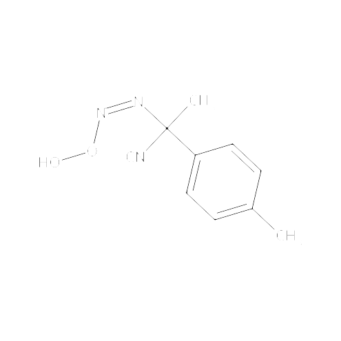 [C-]#[N+]C(C)(/N=N\OO)c1ccc(C)cc1